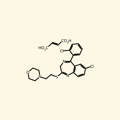 Clc1ccc2c(c1)C(c1ccccc1Cl)=NCC(SCCN1CCOCC1)=N2.O=C(O)C=CC(=O)O